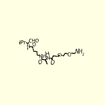 CC(NC(=O)CCOCCOCCN)C(=O)NCCCC(=O)N(C)C(C=O)C(C)C